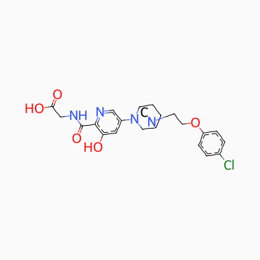 O=C(O)CNC(=O)c1ncc(N2CC3CCC2CN3CCOc2ccc(Cl)cc2)cc1O